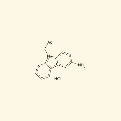 CC(=O)Cn1c2ccccc2c2cc(N)ccc21.Cl